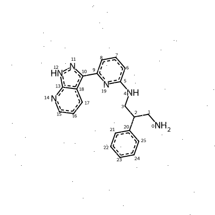 NCC(CNc1cccc(-c2n[nH]c3ncccc23)n1)c1ccccc1